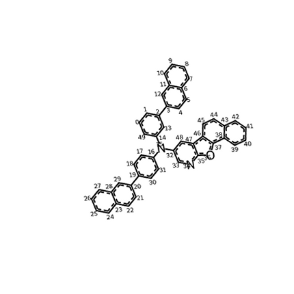 c1cc(-c2ccc3ccccc3c2)cc(N(c2ccc(-c3ccc4ccccc4c3)cc2)c2cnc3oc4c5ccccc5ccc4c3c2)c1